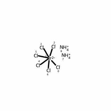 [Cl][Ir-2]([Cl])([Cl])([Cl])([Cl])[Cl].[NH4+].[NH4+]